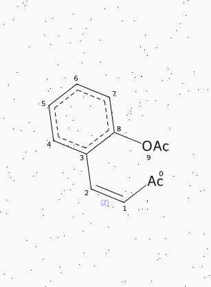 CC(=O)/C=C\c1ccccc1OC(C)=O